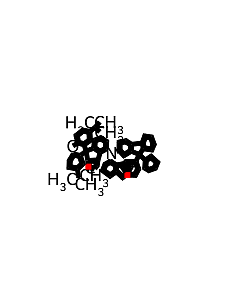 CC(C)(C)c1ccc2c(c1)C1(c3cc(C(C)(C)C)ccc3O2)c2ccccc2-c2c(N(c3ccc4c(c3)C(c3ccccc3)(c3ccccc3)c3ccccc3-4)c3cccc4ccccc34)cccc21